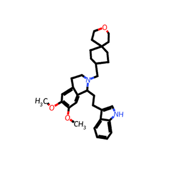 COc1cc2c(cc1OC)C(CCc1c[nH]c3ccccc13)N(CC1CCC3(CCOCC3)CC1)CC2